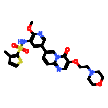 COc1ncc(-c2ccc3ncc(OCCN4CCOCC4)c(=O)n3c2)cc1NS(=O)(=O)c1sccc1C